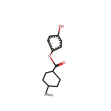 CCCCCC1CCC(C(=O)Oc2ccc(O)cc2)CC1